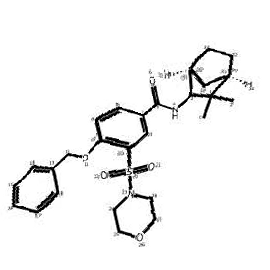 CC1(C)C(NC(=O)c2ccc(OCc3ccccc3)c(S(=O)(=O)N3CCOCC3)c2)[C@H]2CC[C@@H]1C2